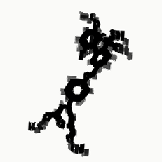 COC/C=C/[C@H](CC(=O)OC)c1ccc(OCc2ccc(C(C)(C)C)c(-c3cc(OC)ccc3F)c2)cc1